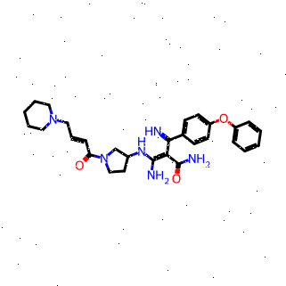 N=C(/C(C(N)=O)=C(/N)NC1CCN(C(=O)/C=C/CN2CCCCC2)C1)c1ccc(Oc2ccccc2)cc1